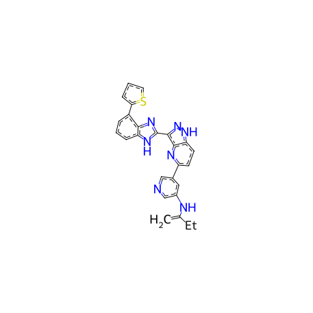 C=C(CC)Nc1cncc(-c2ccc3[nH]nc(-c4nc5c(-c6cccs6)cccc5[nH]4)c3n2)c1